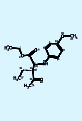 CCOC(=O)[C@@H](Nc1ccc(OC)cc1)[C@@H](CC)C(C)=O